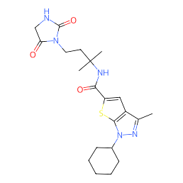 Cc1nn(C2CCCCC2)c2sc(C(=O)NC(C)(C)CCN3C(=O)CNC3=O)cc12